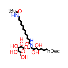 CCCCCCCCCCCCCC[C@@H](O)[C@@H](O)[C@H](CO[C@H]1O[C@H](CO)[C@H](O)[C@H](O)[C@H]1O)NC(=O)CCCCCCCCCCCNC(=O)C(C)(C)C